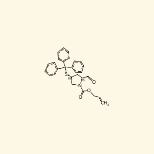 C=CCOC(=O)N1C[C@@H](SC(c2ccccc2)(c2ccccc2)c2ccccc2)C[C@H]1C=O